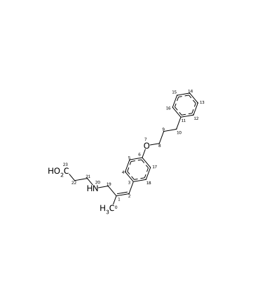 CC(=Cc1ccc(OCCCc2ccccc2)cc1)CNCCC(=O)O